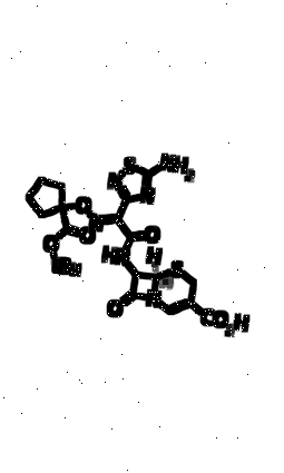 CC(C)(C)OC(=O)C1(ON=C(C(=O)NC2C(=O)N3C=C(C(=O)O)CS[C@H]23)c2nsc(N)n2)CCCC1